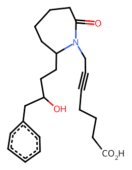 O=C(O)CCCC#CCN1C(=O)CCCCC1CCC(O)Cc1ccccc1